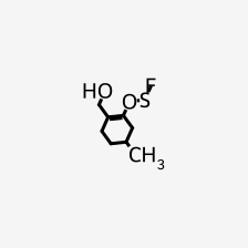 CC1CCC(CO)=C(OSF)C1